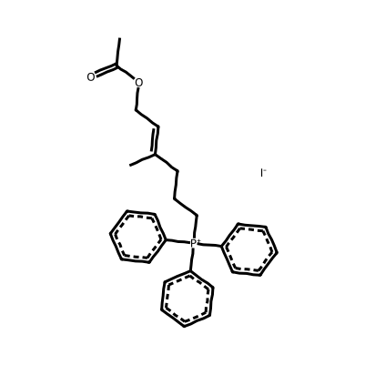 CC(=O)OC/C=C(\C)CCC[P+](c1ccccc1)(c1ccccc1)c1ccccc1.[I-]